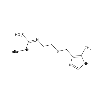 CCCCN/C(=N\CCSCc1nc[nH]c1C)S(=O)(=O)O